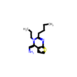 CCCCC1=Nc2sccc2/C(=C\N)N1CCC